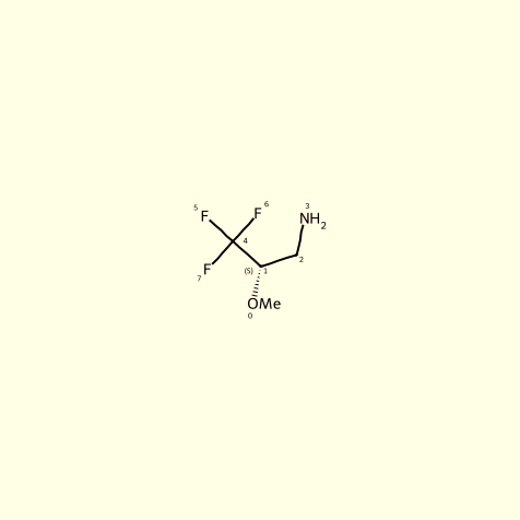 CO[C@@H](CN)C(F)(F)F